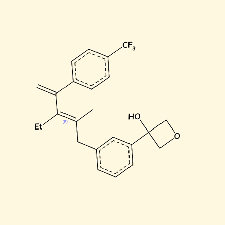 C=C(/C(CC)=C(\C)Cc1cccc(C2(O)COC2)c1)c1ccc(C(F)(F)F)cc1